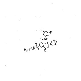 CC(Nc1cc(F)cc(F)c1)c1cc(S(=O)(=O)N2CC(N)C2)cc2c(=O)cc(N3CCOCC3)oc12